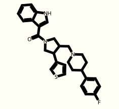 O=C(c1c[nH]c2ccccc12)N1CC(CN2CCC(c3ccc(F)cc3)CC2)C(c2ccsc2)C1